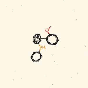 COc1ccccc1[C]12[CH]3[CH]4[CH]5[C]1(Pc1ccccc1)[Fe]45321678[CH]2[CH]1[CH]6[CH]7[CH]28